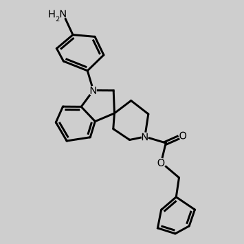 Nc1ccc(N2CC3(CCN(C(=O)OCc4ccccc4)CC3)c3ccccc32)cc1